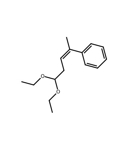 CCOC(C/C=C(/C)c1ccccc1)OCC